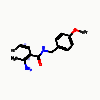 CC/C=C\C(C(=O)NCc1ccc(OCCC)cc1)=C(/C)N